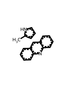 Cc1ccc[nH]1.c1ccc2nc3ccccc3cc2c1